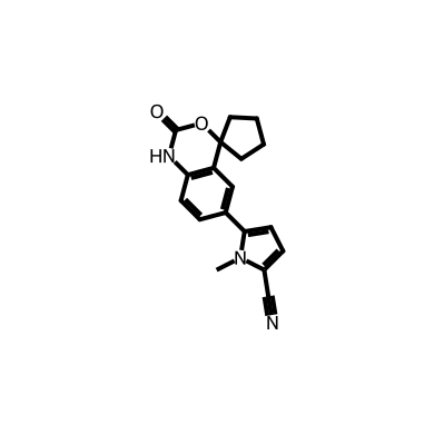 Cn1c(C#N)ccc1-c1ccc2c(c1)C1(CCCC1)OC(=O)N2